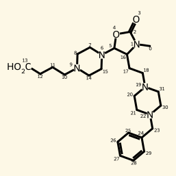 CN1C(=O)OC(N2CCN(CCCC(=O)O)CC2)C1CCN1CCN(Cc2ccccc2)CC1